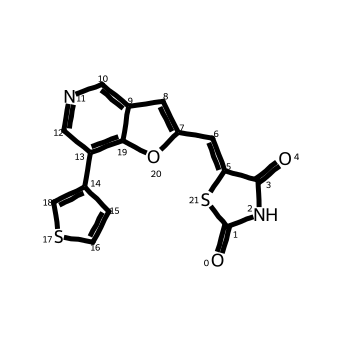 O=C1NC(=O)C(=Cc2cc3cncc(-c4ccsc4)c3o2)S1